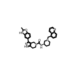 CC1Nc2cc(-c3n[nH]c4c3CN(C(=O)N[C@@H]3CCCN(Cc5cccc6ncccc56)C3)CC4)ccc2O1